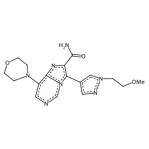 COCCn1cc(-c2c(C(N)=O)nc3c(N4CCOCC4)cncn23)cn1